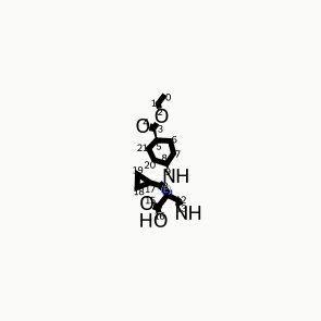 CCOC(=O)[C@H]1CC[C@H](N/C(=C(\C=N)C(=O)O)C2CC2)CC1